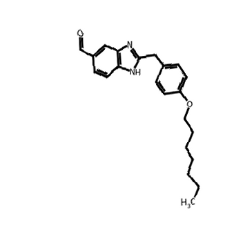 CCCCCCCOc1ccc(Cc2nc3cc(C=O)ccc3[nH]2)cc1